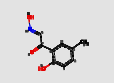 Cc1ccc(O)c(C(=O)C=NO)c1